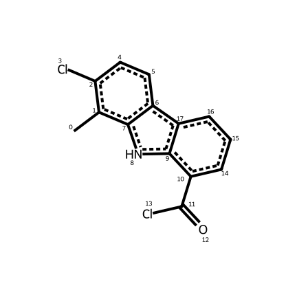 Cc1c(Cl)ccc2c1[nH]c1c(C(=O)Cl)cccc12